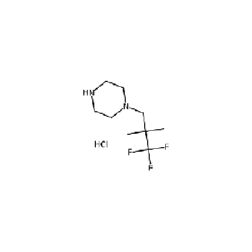 CC(C)(CN1CCNCC1)C(F)(F)F.Cl